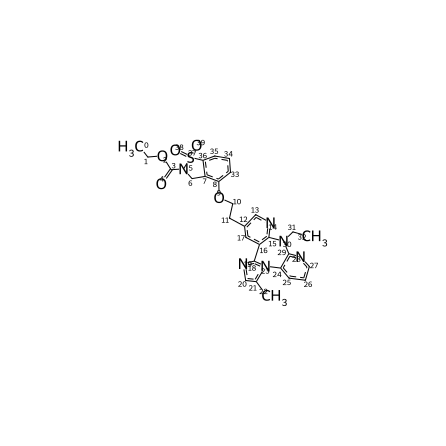 CCOC(=O)N1Cc2c(OCCc3cnc4c(c3)-c3ncc(C)n3-c3cccnc3N4CC)cccc2S1(=O)=O